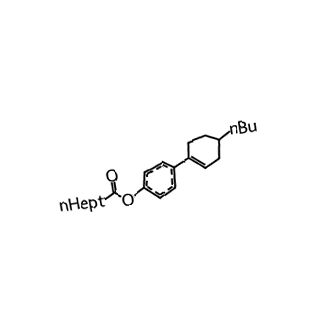 CCCCCCCC(=O)Oc1ccc(C2=CCC(CCCC)CC2)cc1